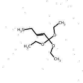 CCOC(C=CC[SiH3])(OCC)OCC